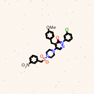 COc1ccc(Cc2c(N3CCN(S(=O)(=O)Cc4cccc([N+](=O)[O-])c4)CC3)cnn(-c3cccc(Cl)c3)c2=O)cc1